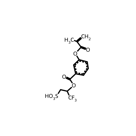 C=C(C)C(=O)Oc1cccc(C(=O)OC(CS(=O)(=O)O)C(F)(F)F)c1